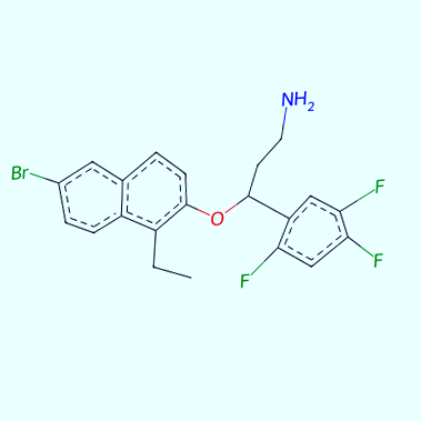 CCc1c(OC(CCN)c2cc(F)c(F)cc2F)ccc2cc(Br)ccc12